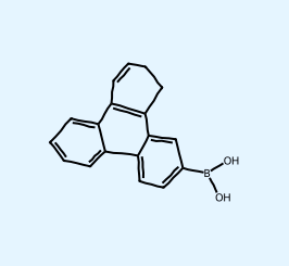 OB(O)c1ccc2c(c1)c1c(c3ccccc32)C=CCC1